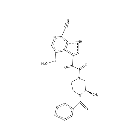 COc1cnc(C#N)c2[nH]cc(C(=O)C(=O)N3CCN(C(=O)c4ccccc4)[C@H](C)C3)c12